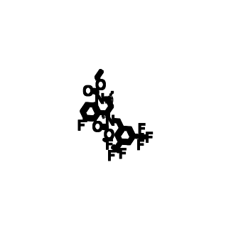 CCOC(=O)N1c2ccc(F)cc2[C@@H](N(Cc2cc(C(F)(F)F)cc(C(F)(F)F)c2)C(=O)OC)C[C@H]1C